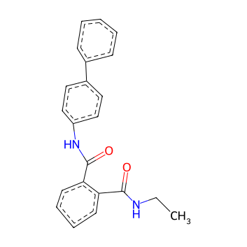 CCNC(=O)c1ccccc1C(=O)Nc1ccc(-c2ccccc2)cc1